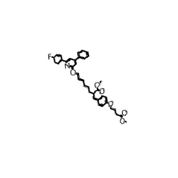 COC(=O)CCCOc1ccc(CC(CCCCCCOc2cc(-c3ccccc3)cc(-c3ccc(F)cc3)n2)C(=O)OC)cc1